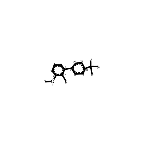 COc1[c]ccc(-c2ccc(C(C)(C)C)cc2)c1C